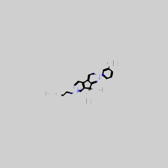 CCCC[n+]1ccc2c(c1)C(C)(C)c1c[n+](-c3cccc(C)c3)ccc1-2